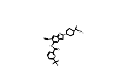 CC(I)[C@H]1CC[C@H](n2cc3cc(NC(=O)c4cccc(C(F)(F)F)n4)c(C#N)cc3n2)CC1